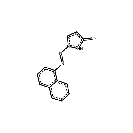 O=c1ccn(/N=N/c2cccc3ccccc23)[nH]1